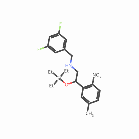 CC[Si](CC)(CC)OC(CNCc1cc(F)cc(F)c1)c1cc(C)ccc1[N+](=O)[O-]